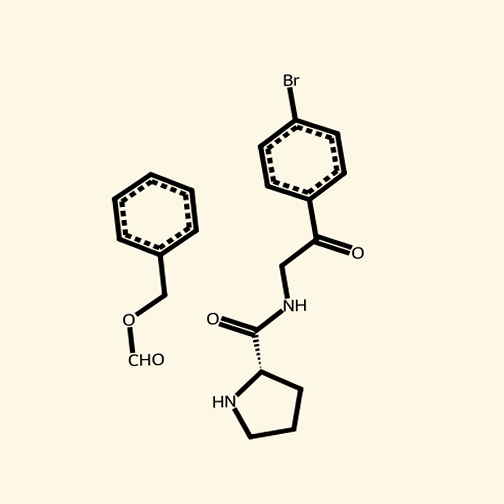 O=C(CNC(=O)[C@@H]1CCCN1)c1ccc(Br)cc1.O=COCc1ccccc1